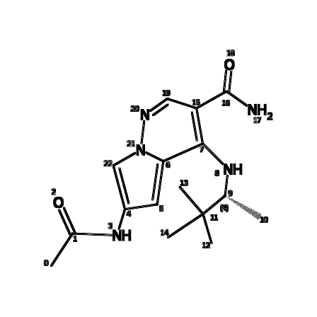 CC(=O)Nc1cc2c(N[C@H](C)C(C)(C)C)c(C(N)=O)cnn2c1